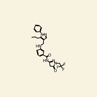 CCCc1c(CNc2cccc(C(=O)NC3=NN(CC(F)(F)F)C(=O)C3)c2)cnn1-c1ccccc1